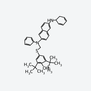 CC(C)(C)c1cc(SCN(c2ccccc2)c2ccc3cc(NC4C=CC=CC4)ccc3c2)cc(C(C)(C)C)c1O